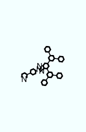 c1ccc(-c2cc(-c3ccccc3)cc(-c3cc(-c4cc(-c5ccccc5)cc(-c5ccccc5)c4)c4nn(-c5ccc(-c6cccnc6)cc5)nc4c3)c2)cc1